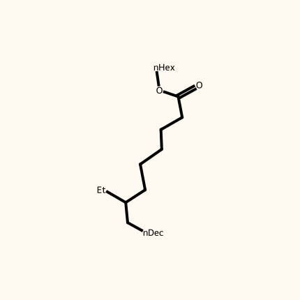 CCCCCCCCCCCC(CC)CCCCCC(=O)OCCCCCC